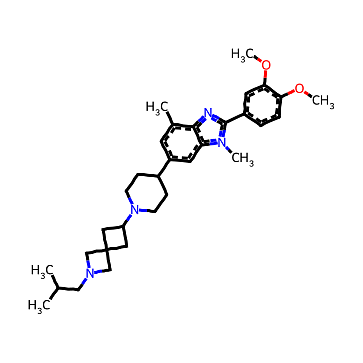 COc1ccc(-c2nc3c(C)cc(C4CCN(C5CC6(C5)CN(CC(C)C)C6)CC4)cc3n2C)cc1OC